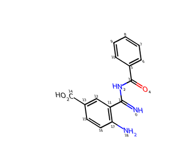 N=C(NC(=O)c1ccccc1)c1cc(C(=O)O)ccc1N